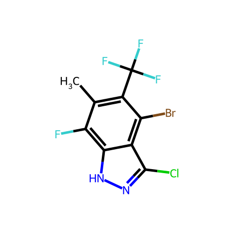 Cc1c(C(F)(F)F)c(Br)c2c(Cl)n[nH]c2c1F